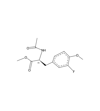 COC(=O)[C@H](Cc1ccc(OC)c(F)c1)NC(C)=O